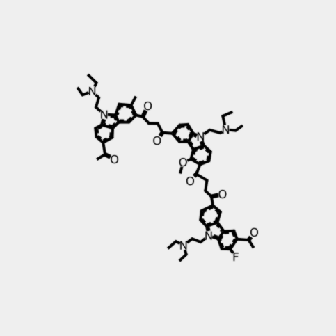 CCN(CC)CCn1c2ccc(C(C)=O)cc2c2cc(C(=O)CCC(=O)c3ccc4c(c3)c3c(OC)c(C(=O)CCC(=O)c5ccc6c(c5)c5cc(C(C)=O)c(F)cc5n6CCN(CC)CC)ccc3n4CCN(CC)CC)c(C)cc21